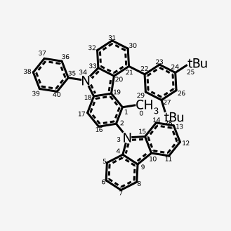 Cc1c(-n2c3ccccc3c3ccccc32)ccc2c1c1c(-c3cc(C(C)(C)C)cc(C(C)(C)C)c3)cccc1n2-c1ccccc1